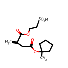 C=C(CC(=O)OC1(C)CCCC1)C(=O)OCCS(=O)(=O)O